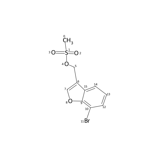 CS(=O)(=O)OCc1coc2c(Br)cccc12